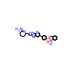 Cc1ccccc1NS(=O)(=O)c1ccc(-c2cnc3[nH]c(CCC4CCCCC(N)=N4)nc3c2)cc1